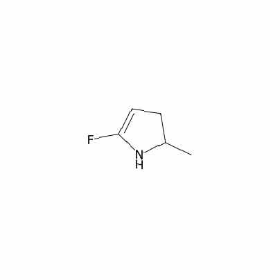 CC1CC=C(F)N1